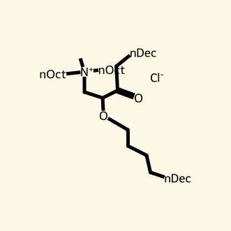 CCCCCCCCCCCCCCOC(C[N+](C)(CCCCCCCC)CCCCCCCC)C(=O)CCCCCCCCCCC.[Cl-]